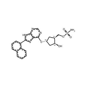 NS(=O)(=O)OC[C@@H]1C[C@@H](Oc2ncnc3[nH]c(-c4cccc5ccccc45)nc23)C[C@@H]1O